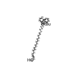 CC(C)(C)[Si](OCCCCCCCCCCCCCCCCCCCCC#CCO)(c1ccccc1)c1ccccc1